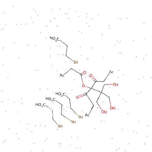 CC(=O)CC(=O)OC(C(=O)CC(C)=O)(C(=O)CC(C)=O)C(CO)(CO)CO.O=C(O)CCS.O=C(O)CCS.O=C(O)CCS.O=C(O)CCS